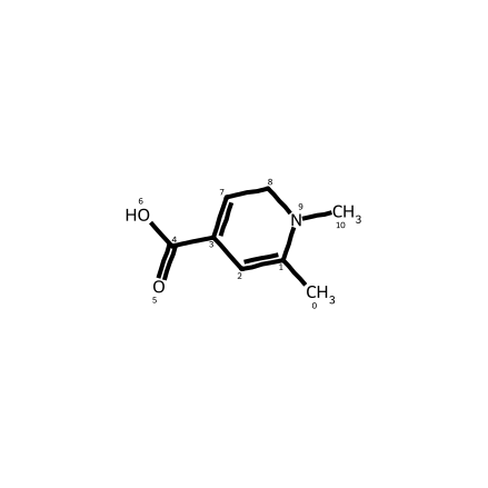 CC1=CC(C(=O)O)=CCN1C